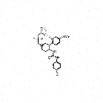 COc1ccc(C2CN(CC(F)(F)CN(C)C)CCC2NC(=O)Nc2ccc(Cl)cc2)nc1